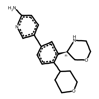 Nc1ccc(-c2ccc(C3CCOCC3)c([C@@H]3COCCN3)c2)cn1